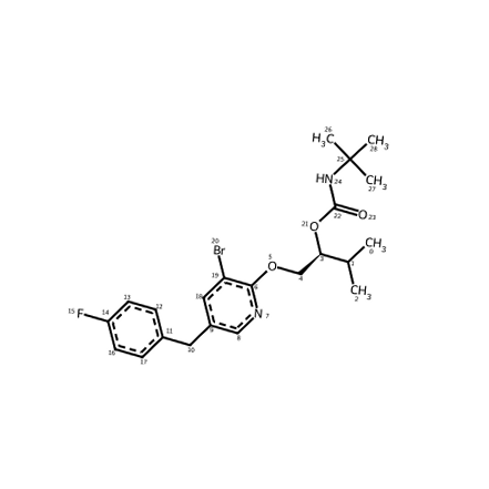 CC(C)[C@@H](COc1ncc(Cc2ccc(F)cc2)cc1Br)OC(=O)NC(C)(C)C